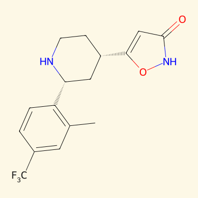 Cc1cc(C(F)(F)F)ccc1[C@H]1C[C@@H](c2cc(=O)[nH]o2)CCN1